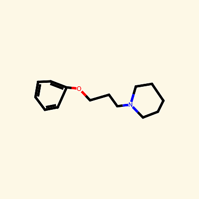 [c]1ccccc1OCCCN1CCCCC1